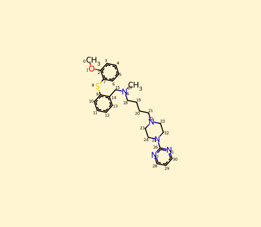 COc1ccccc1Sc1ccccc1CN(C)CCCCN1CCN(c2ncccn2)CC1